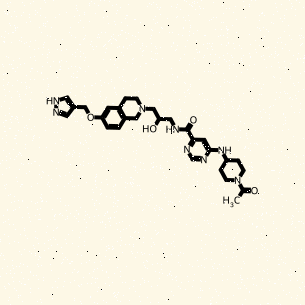 CC(=O)N1CCC(Nc2cc(C(=O)NCC(O)CN3CCc4cc(OCc5cn[nH]c5)ccc4C3)ncn2)CC1